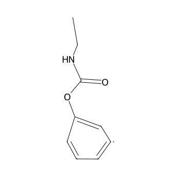 CCNC(=O)Oc1c[c]ccc1